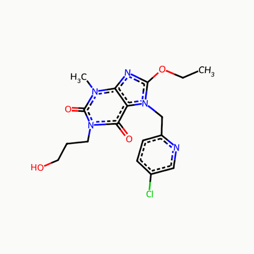 CCOc1nc2c(c(=O)n(CCCO)c(=O)n2C)n1Cc1ccc(Cl)cn1